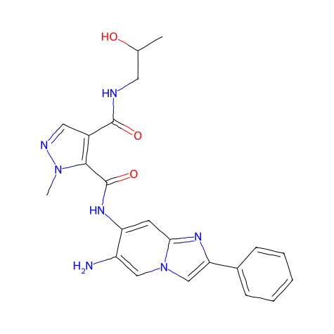 CC(O)CNC(=O)c1cnn(C)c1C(=O)Nc1cc2nc(-c3ccccc3)cn2cc1N